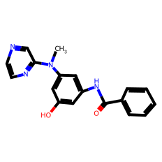 CN(c1cc(O)cc(NC(=O)c2ccccc2)c1)c1cnccn1